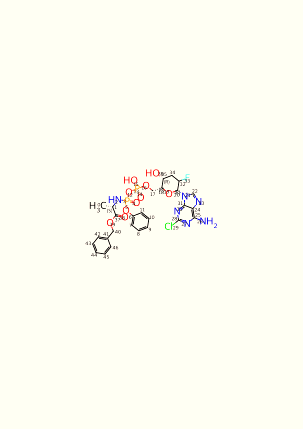 C[C@H](NP(=O)(Oc1ccccc1)OP(=O)(O)OC[C@H]1O[C@@H](n2cnc3c(N)nc(Cl)nc32)C(F)C[C@H]1O)C(=O)OCc1ccccc1